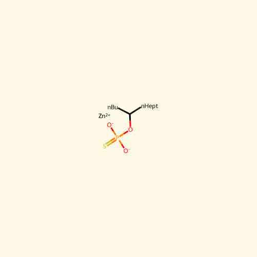 CCCCCCCC(CCCC)OP([O-])([O-])=S.[Zn+2]